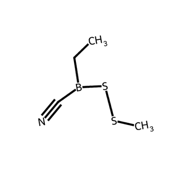 CCB(C#N)SSC